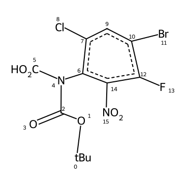 CC(C)(C)OC(=O)N(C(=O)O)c1c(Cl)cc(Br)c(F)c1[N+](=O)[O-]